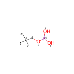 CC(C)(C)COP(O)O